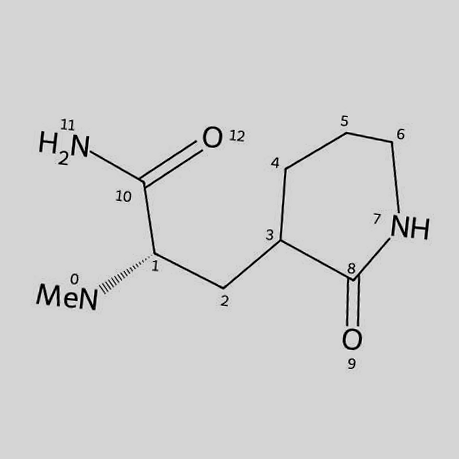 CN[C@@H](CC1CCCNC1=O)C(N)=O